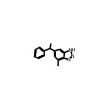 Cc1cc(C(C)c2ccccc2)cc2[nH]nnc12